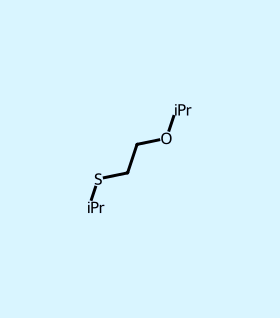 CC(C)OCCSC(C)C